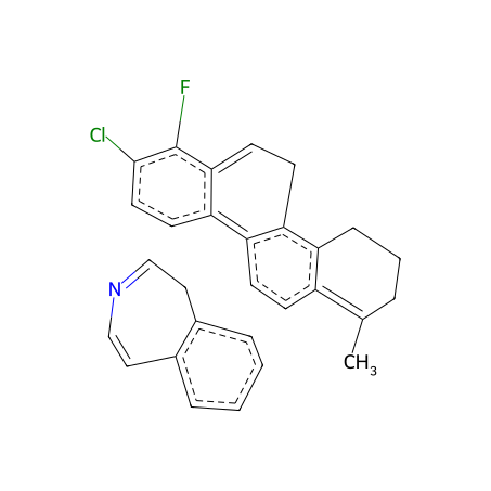 C1=Cc2ccccc2CC=N1.CC1=c2ccc3c(c2CCC1)CC=c1c(F)c(Cl)ccc1=3